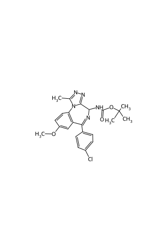 COc1ccc2c(c1)C(c1ccc(Cl)cc1)=NC(NC(=O)OC(C)(C)C)c1nnc(C)n1-2